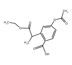 CCOC(=O)C(C)c1cc(OC(C)=O)ccc1C(=O)O